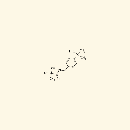 CC(C)(Br)C(=O)NCc1ccc(C(C)(C)C)cc1